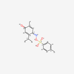 CC1=C/C(=N/OS(=O)(=O)c2ccc(C)cc2)C(C(C)C)=CC1=O